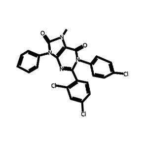 Cn1c(=O)n(-c2ccccc2)c2nc(-c3ccc(Cl)cc3Cl)n(-c3ccc(Cl)cc3)c(=O)c21